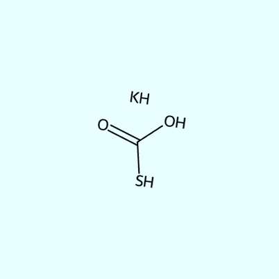 O=C(O)S.[KH]